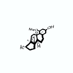 COC1CC(O)CC2=CC[C@H]3[C@@H]4CC[C@H](C(C)=O)[C@@]4(C)CC[C@@H]3[C@]21C